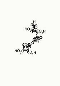 O=C(O)CN1CCN(CC(=O)O)CCN(CC(=O)NC[C@H]2CC[C@H](C(=O)N[C@@H](Cc3ccc4ccccc4c3)C(=O)NCCCC[C@H](NC(=O)N[C@@H](Cn3oc(=O)[nH]c3=O)C(=O)O)C(=O)O)CC2)CCN(CC(=O)O)CC1